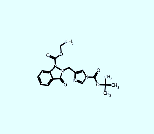 CCOC(=O)n1c2ccccc2c(=O)n1Cc1cn(C(=O)OC(C)(C)C)cn1